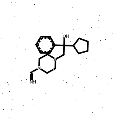 N=CN1CCN(CC(O)(c2ccccc2)C2CCCC2)CC1